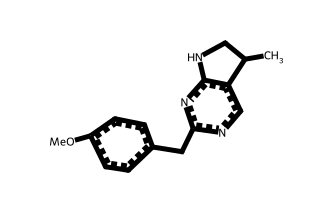 COc1ccc(Cc2ncc3c(n2)NCC3C)cc1